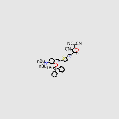 [C-]#[N+]C1=C(/C=C/c2ccc(/C=C/c3ccc(N(CCCC)CCCC)cc3O[Si](c3ccccc3)(c3ccccc3)C(C)(C)C)s2)C(C)(C)OC1=C(C#N)C#N